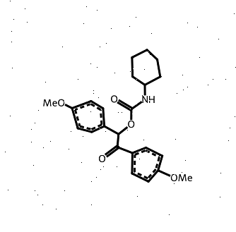 COc1ccc(C(=O)C(OC(=O)NC2CCCCC2)c2ccc(OC)cc2)cc1